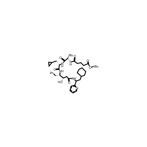 CC[C@H](C)[C@H](NC(=O)CCCC(=O)OC(C)(C)C)C(=O)N[C@@H](CC1CC1)C(=O)N[C@@H](CC(C)C)[C@@H](O)CC(=O)NC(CC1CCCCC1)c1ccccn1